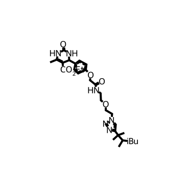 CCOC(=O)C1=C(C)NC(=O)NC1c1ccc(OCC(=O)NCCOCCn2cc(C(C)(C)C(C)C(C)CC)nn2)cc1